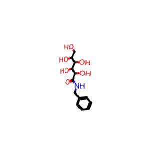 O=C(NCc1ccccc1)C(O)C(O)C(O)C(O)CO